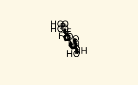 O=c1nc(NO)ccn1[C@H]1C[C@H](F)[C@@](F)(COP(=O)(O)O)O1